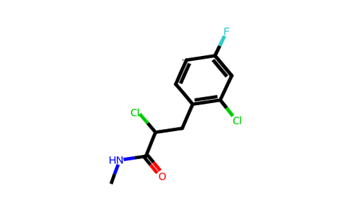 CNC(=O)C(Cl)Cc1c[c]c(F)cc1Cl